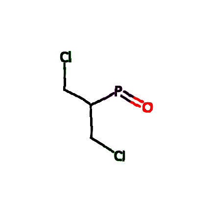 O=PC(CCl)CCl